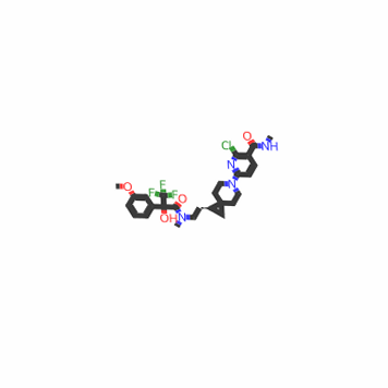 CNC(=O)c1ccc(N2CCC3(CC2)C[C@@H]3CCN(C)C(=O)C(O)(c2cccc(OC)c2)C(F)(F)F)nc1Cl